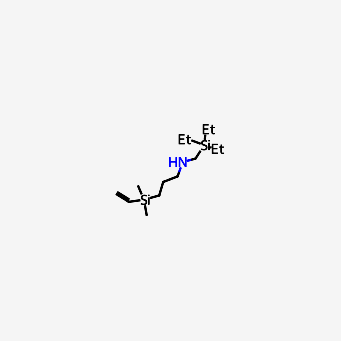 C=C[Si](C)(C)CCCNC[Si](CC)(CC)CC